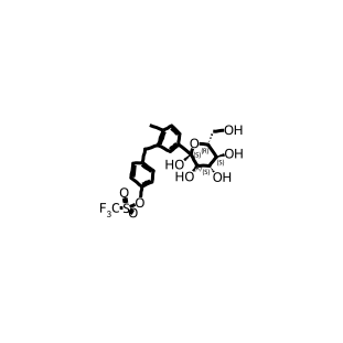 Cc1ccc([C@]2(O)O[C@H](CO)[C@@H](O)[C@H](O)[C@H]2O)cc1Cc1ccc(OS(=O)(=O)C(F)(F)F)cc1